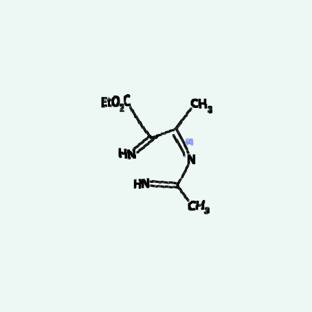 CCOC(=O)C(=N)/C(C)=N\C(C)=N